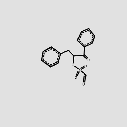 O=CS(=O)(=O)OC(Cc1ccccc1)C(=O)c1ccccc1